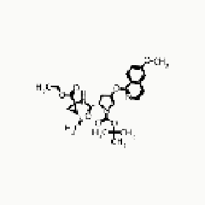 C=C[C@@H]1C[C@]1(NC(=O)[C@@H]1C[C@@H](Oc2nccc3cc(OC)ccc23)CN1C(=O)OC(C)(C)C)C(=O)OCC